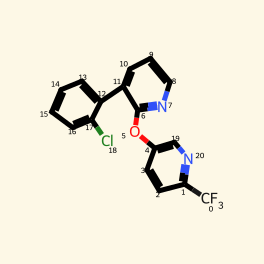 FC(F)(F)c1ccc(Oc2ncccc2-c2ccccc2Cl)cn1